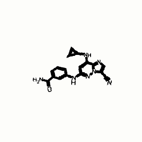 N#Cc1cnc2c(NC3CC3)cc(Nc3cccc(C(N)=O)c3)nn12